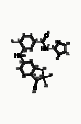 Cc1ccc(C(=O)Nc2nccs2)cc1Nc1ccc2c(c1)CC(C)(C)C2=O